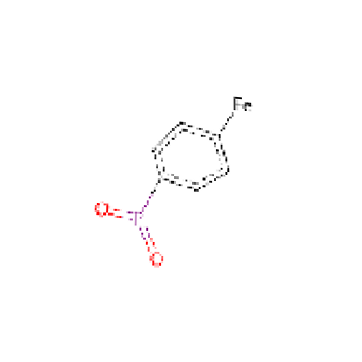 O=P(=O)c1cc[c]([Fe])cc1